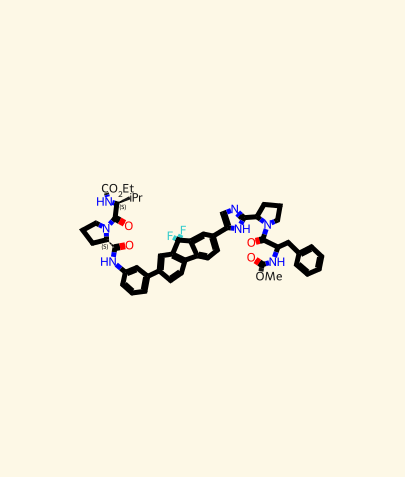 CCOC(=O)N[C@H](C(=O)N1CCC[C@H]1C(=O)Nc1cccc(-c2ccc3c(c2)C(F)(F)c2cc(-c4cnc(C5CCCN5C(=O)C(Cc5ccccc5)NC(=O)OC)[nH]4)ccc2-3)c1)C(C)C